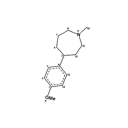 COc1ccc(C2CCCN(C)CC2)cc1